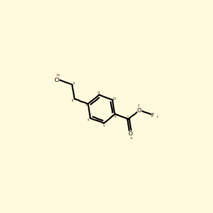 O=C(OF)c1ccc(CCCl)cc1